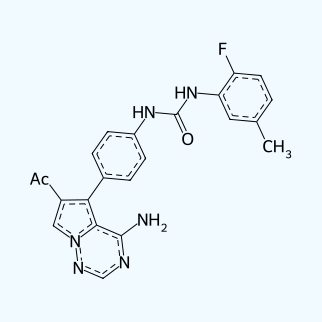 CC(=O)c1cn2ncnc(N)c2c1-c1ccc(NC(=O)Nc2cc(C)ccc2F)cc1